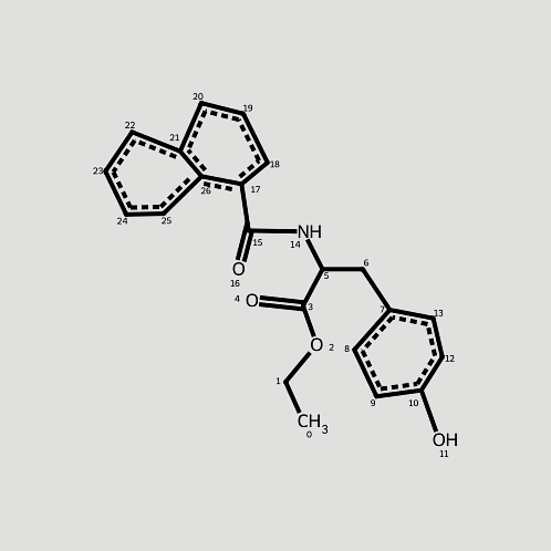 CCOC(=O)C(Cc1ccc(O)cc1)NC(=O)c1cccc2ccccc12